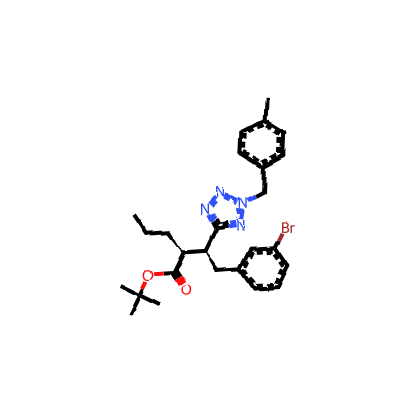 CCC[C@H](C(=O)OC(C)(C)C)[C@H](Cc1cccc(Br)c1)c1nnn(Cc2ccc(C)cc2)n1